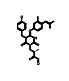 CC(C)=Cc1ccc(/N=c2\[nH]c(=O)n(C[C@H](C)C(=O)N=O)c(=O)n2Cc2ccc(Cl)cc2)cc1C